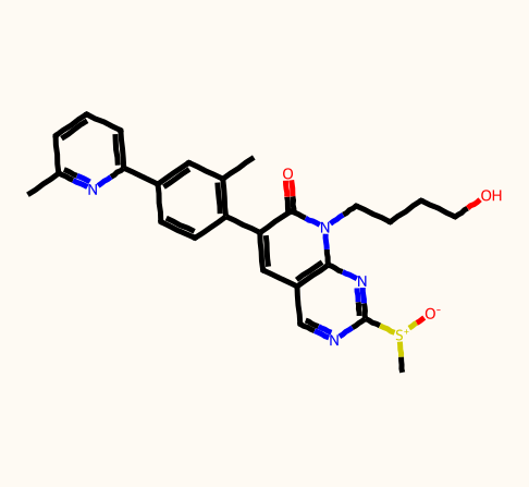 Cc1cccc(-c2ccc(-c3cc4cnc([S+](C)[O-])nc4n(CCCCO)c3=O)c(C)c2)n1